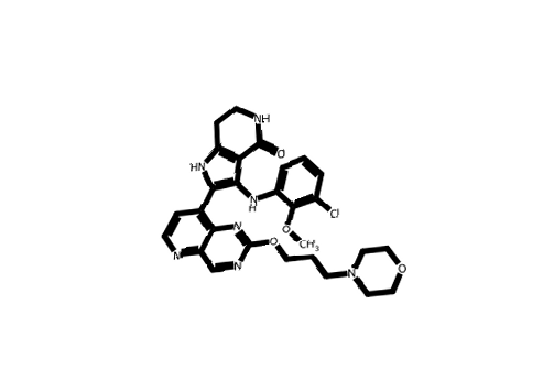 COc1c(Cl)cccc1Nc1c(-c2ccnc3cnc(OCCCN4CCOCC4)nc23)[nH]c2c1C(=O)NCC2